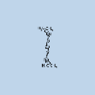 CC(C)Cc1cn(CCOCC2CCC(COCCn3cc(CC(C)C)nn3)CC2)nn1